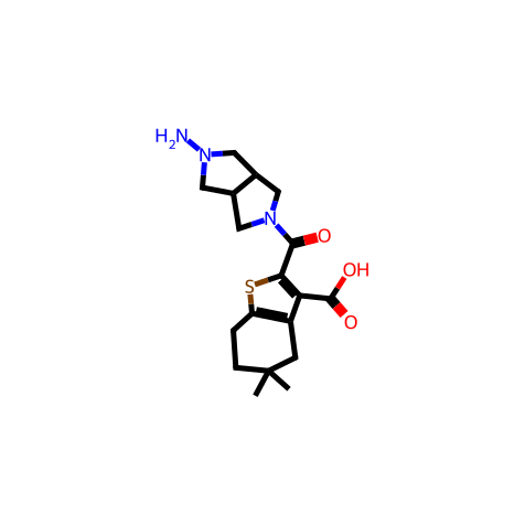 CC1(C)CCc2sc(C(=O)N3CC4CN(N)CC4C3)c(C(=O)O)c2C1